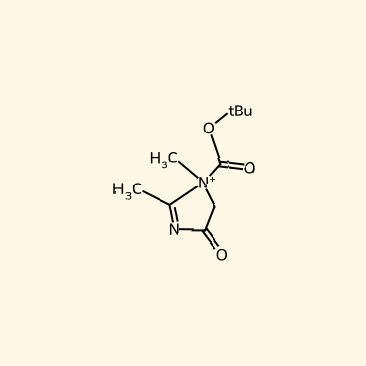 CC1=NC(=O)C[N+]1(C)C(=O)OC(C)(C)C